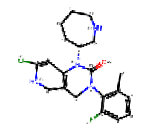 Cc1cccc(F)c1N1CC2=C(C=C(Cl)NC2)N([C@@H]2CCCCNC2)C1=O